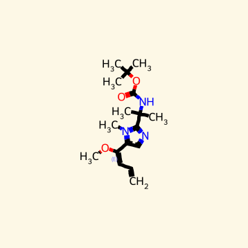 C=C/C=C(/OC)c1cnc(C(C)(C)NC(=O)OC(C)(C)C)n1C